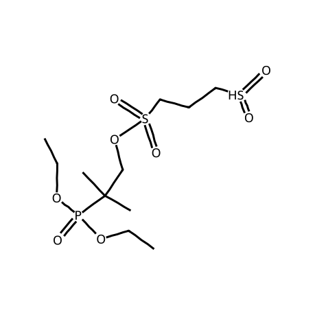 CCOP(=O)(OCC)C(C)(C)COS(=O)(=O)CCC[SH](=O)=O